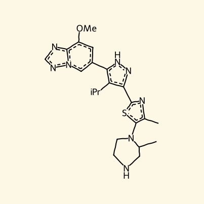 COc1cc(-c2[nH]nc(-c3nc(C)c(N4CCNCC4C)s3)c2C(C)C)cn2ncnc12